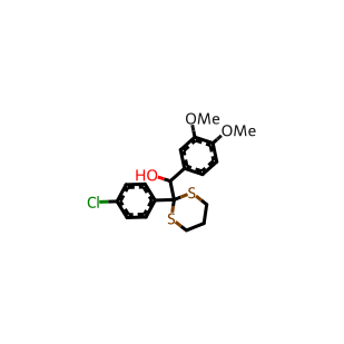 COc1ccc(C(O)C2(c3ccc(Cl)cc3)SCCCS2)cc1OC